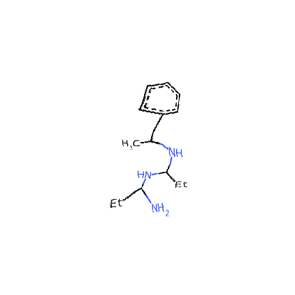 CCC(N)NC(CC)NC(C)c1ccccc1